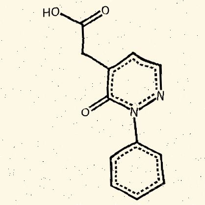 O=C(O)Cc1ccnn(-c2ccccc2)c1=O